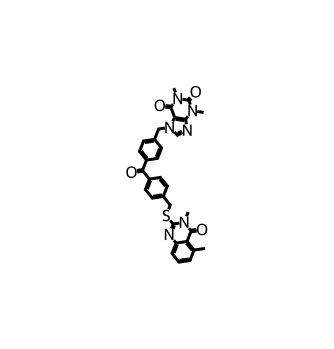 Cc1cccc2nc(SCc3ccc(C(=O)c4ccc(Cn5cnc6c5c(=O)n(C)c(=O)n6C)cc4)cc3)n(C)c(=O)c12